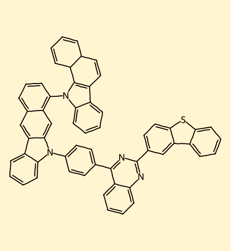 C1=CC2C=Cc3c(n(-c4cccc5cc6c7ccccc7n(-c7ccc(-c8nc(-c9ccc%10sc%11ccccc%11c%10c9)nc9ccccc89)cc7)c6cc45)c4ccccc34)C2C=C1